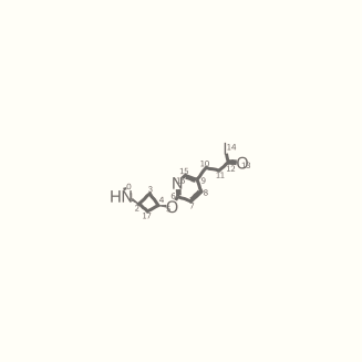 CN[C@H]1C[C@@H](Oc2ccc(CCC(=O)I)cn2)C1